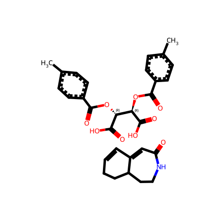 Cc1ccc(C(=O)O[C@@H](C(=O)O)[C@@H](OC(=O)c2ccc(C)cc2)C(=O)O)cc1.O=C1C=C2C=CCCC2CCN1